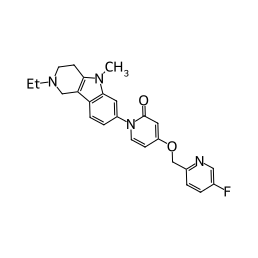 CCN1CCc2c(c3ccc(-n4ccc(OCc5ccc(F)cn5)cc4=O)cc3n2C)C1